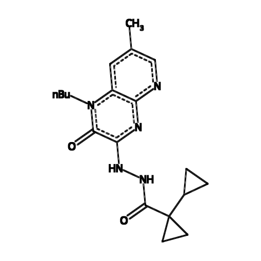 CCCCn1c(=O)c(NNC(=O)C2(C3CC3)CC2)nc2ncc(C)cc21